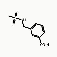 CS(=O)(=O)NCc1cccc(C(=O)O)c1